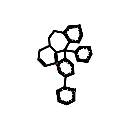 C1=CCC2CCc3ccccc3C(c3ccccc3)(c3ccc(-c4ccccn4)cc3)C2=C1